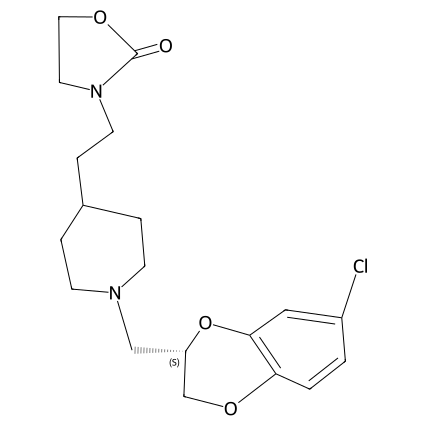 O=C1OCCN1CCC1CCN(C[C@H]2COc3ccc(Cl)cc3O2)CC1